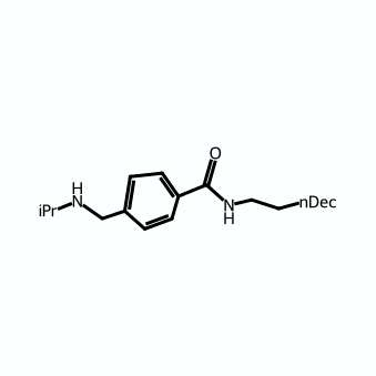 CCCCCCCCCCCCNC(=O)c1ccc(CNC(C)C)cc1